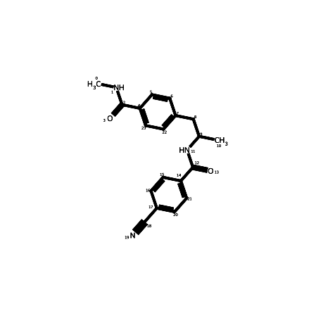 CNC(=O)c1ccc(CC(C)NC(=O)c2ccc(C#N)cc2)cc1